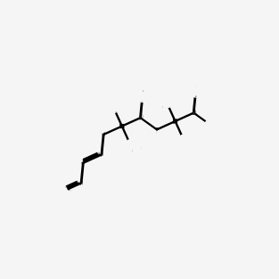 CC(O)C(C)(C)CC(O)C(C)(C)C/C=C/C=O